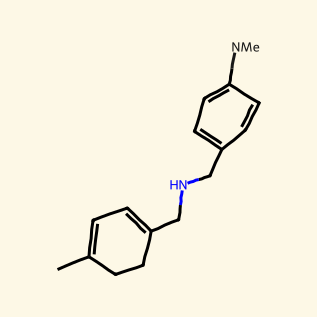 CNc1ccc(CNCC2=CC=C(C)CC2)cc1